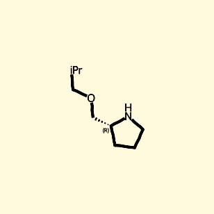 CC(C)COC[C@H]1CCCN1